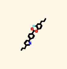 CCCc1ccc(-c2ccc(C(=O)Oc3ccc(CCC)cc3F)cc2)nc1